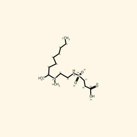 CCCCCCCC(C)N(C)CCNS(=O)(=O)CCC(=O)O